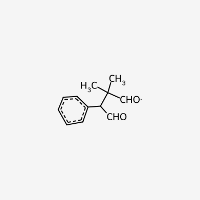 CC(C)([C]=O)C(C=O)c1ccccc1